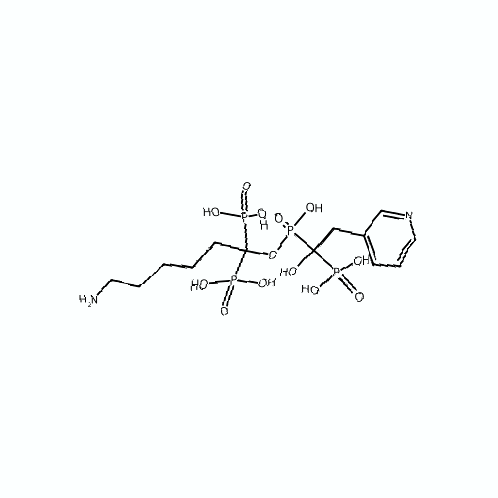 NCCCCCC(OP(=O)(O)C(O)(Cc1cccnc1)P(=O)(O)O)(P(=O)(O)O)P(=O)(O)O